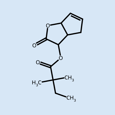 CCC(C)(C)C(=O)OC1C(=O)OC2C=CCC21